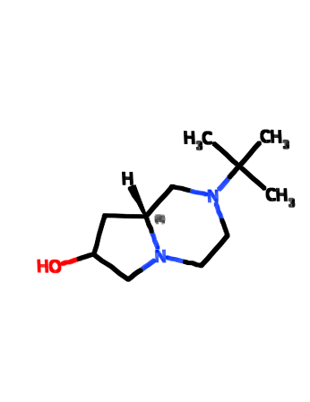 CC(C)(C)N1CCN2CC(O)C[C@@H]2C1